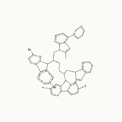 CC1=Cc2ccccc2C1CC(CCC(CC1C(C)=Cc2c(-c3ccccc3)cccc21)C1c2cc(Br)ccc2-c2ccc(Br)cc21)C1c2cc(I)ccc2-c2ccc(I)cc21